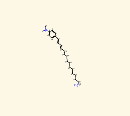 CN(C)c1ccc(C=CC=CCCCCCCCCCCCN)cc1